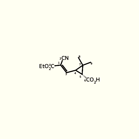 CCOC(=O)C(C#N)=CC1[C@@H](C(=O)O)C1(C)C